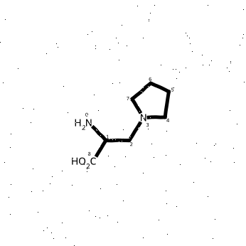 NC(CN1CCCC1)C(=O)O